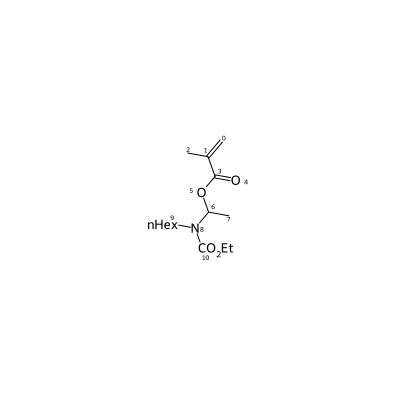 C=C(C)C(=O)OC(C)N(CCCCCC)C(=O)OCC